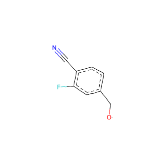 N#Cc1ccc(C[O])cc1F